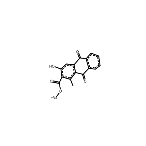 Cc1c(C(=O)OC(C)(C)C)c(O)cc2c1C(=O)c1ccccc1C2=O